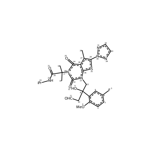 COc1ccc(F)cc1C(O)(CC=O)Cn1c(=O)n(C(C)(C)C(=O)NC(C)C)c(=O)c2c(C)c(-n3nccn3)sc21